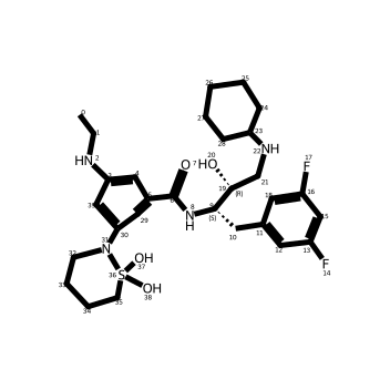 CCNc1cc(C(=O)N[C@@H](Cc2cc(F)cc(F)c2)[C@H](O)CNC2CCCCC2)cc(N2CCCCS2(O)O)c1